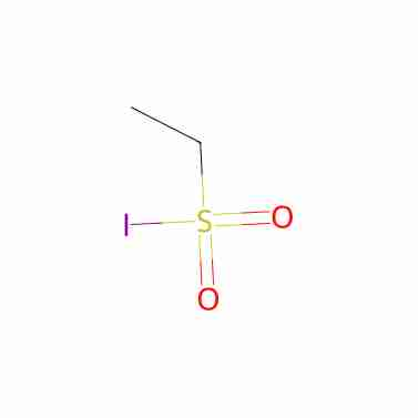 CCS(=O)(=O)I